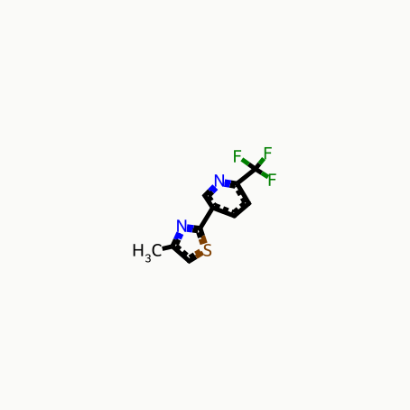 Cc1csc(-c2ccc(C(F)(F)F)nc2)n1